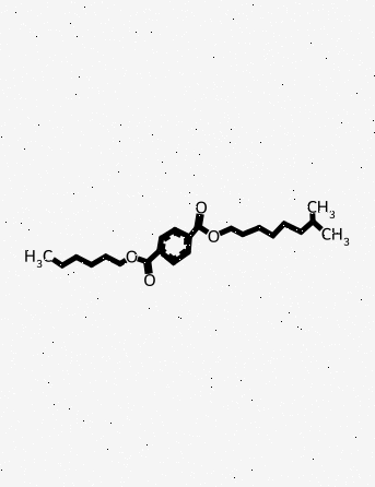 CCCCCCOC(=O)c1ccc(C(=O)OCCCCCCC(C)C)cc1